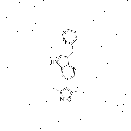 Cc1noc(C)c1-c1cnc2c(Cc3ccccn3)c[nH]c2c1